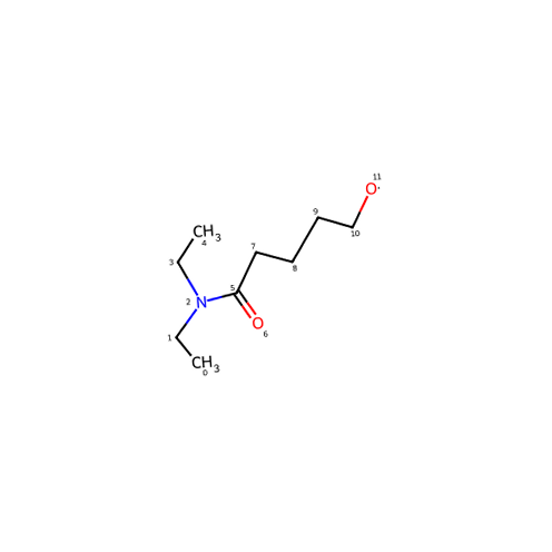 CCN(CC)C(=O)CCCC[O]